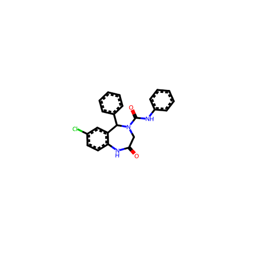 O=C1CN(C(=O)Nc2ccccc2)C(c2ccccc2)c2cc(Cl)ccc2N1